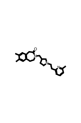 Cc1cccc(CCN2CCC(CN3CCc4cc(C)c(C)cc4CC3=O)C2)n1